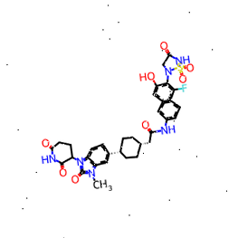 Cn1c(=O)n(C2CCC(=O)NC2=O)c2ccc([C@H]3CC[C@@H](CC(=O)Nc4ccc5c(F)c(N6CC(=O)NS6(=O)=O)c(O)cc5c4)CC3)cc21